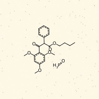 CCCCOC(=O)C(C(=O)c1c(OC)cc(OC)cc1OC)c1ccccc1.O=[PH3]